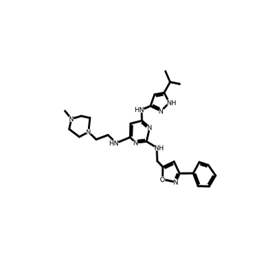 CC(C)c1cc(Nc2cc(NCCN3CCN(C)CC3)nc(NCc3cc(-c4ccccc4)no3)n2)n[nH]1